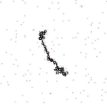 C=CC(=O)Nc1cc2c(Nc3ccc(F)c(Cl)c3)ncnc2cc1OCCCN1CCC(N2CCN(C(=O)COCCOCCOCCOCCOCCSc3cccc4c3C(=O)N(C3CCC(=O)NC3=O)C4=O)CC2)CC1